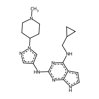 CN1CCC(n2cc(Nc3nc(NCC4CC4)c4cc[nH]c4n3)cn2)CC1